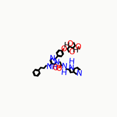 CO[C@@H]1CO[C@H]2[C@@H]1OC[C@H]2Oc1ccc(-c2ncc(NCCCc3ccccc3)c(=O)n2CC(=O)NCc2cc3cnccc3[nH]2)cc1